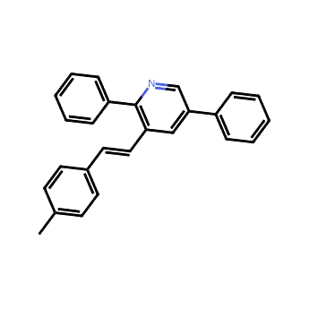 Cc1ccc(C=Cc2cc(-c3ccccc3)cnc2-c2ccccc2)cc1